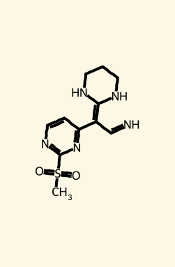 CS(=O)(=O)c1nccc(C(C=N)=C2NCCCN2)n1